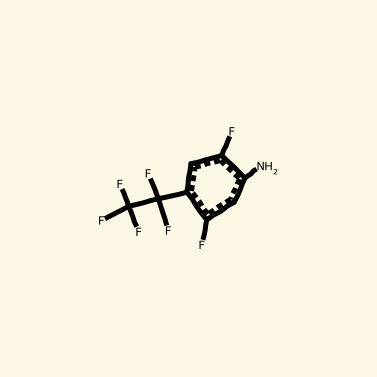 Nc1cc(F)c(C(F)(F)C(F)(F)F)cc1F